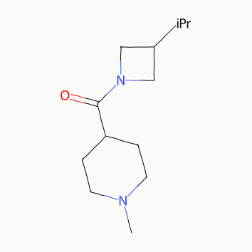 CC(C)C1CN(C(=O)C2CCN(C)CC2)C1